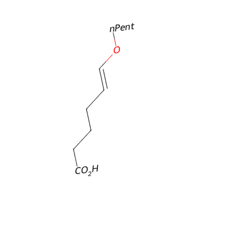 CCCCCOC=CCCCC(=O)O